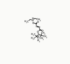 CC[SiH](CC)OC(=O)N=NC(=O)O[SiH](C(C)(C)C)C(C)(C)C